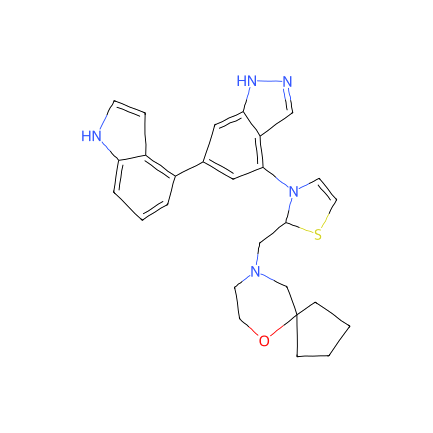 C1=CN(c2cc(-c3cccc4[nH]ccc34)cc3[nH]ncc23)C(CN2CCOC3(CCCC3)C2)S1